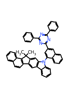 CC1(C)c2cc3c(cc2-c2ccc4ccccc4c21)c1ccccc1n3-c1cc(-c2nc(-c3ccccc3)nc(-c3ccccc3)n2)cc2ccccc12